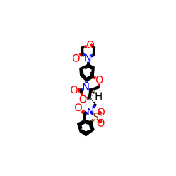 O=C1COCCN1c1ccc2c(c1)OC[C@H]1[C@H](CN3C(=O)c4ccccc4S3(=O)=O)OC(=O)N21